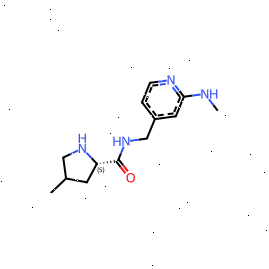 CNc1cc(CNC(=O)[C@@H]2CC(C)CN2)ccn1